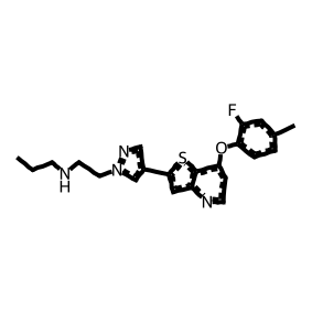 CCCNCCn1cc(-c2cc3nccc(Oc4ccc(C)cc4F)c3s2)cn1